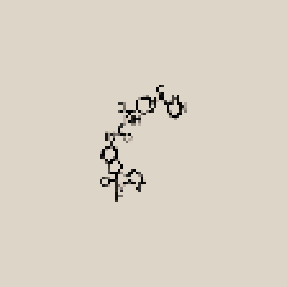 O=C(CNC(=O)C1CCN(C(=O)c2cccnn2)CC1)Nc1ccc2c(c1)CC1(C2)C(=O)Nc2ncccc21